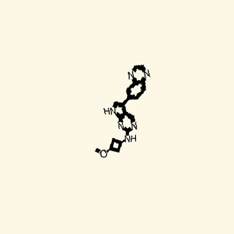 CO[C@H]1C[C@@H](Nc2ncc3c(-c4ccc5nccnc5c4)c[nH]c3n2)C1